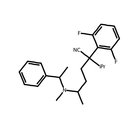 CC(CCC(C#N)(c1c(F)cccc1F)C(C)C)N(C)C(C)c1ccccc1